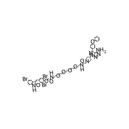 Nc1ncnc2c1c(-c1ccc(Oc3ccccc3)cc1)nn2C1CCN(CC(=O)NCCOCCOCCOCCOCCNC(=O)COc2c(Br)cc(/C=C3\C(=O)Nc4ccc(Br)cc43)cc2Br)CC1